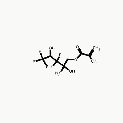 C=C(C)C(=O)OCC(C)(O)C(F)(F)C(O)C(F)(F)F